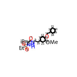 CCS(=O)(=O)N[C@H](C(=O)NCCc1ccc(OCc2ccccc2)c(OC)c1)C(C)C